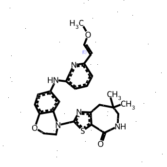 CO/C=C/c1cccc(Nc2ccc3c(c2)N(c2nc4c(s2)C(=O)NCC(C)(C)C4)CCO3)n1